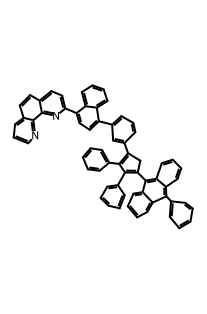 c1ccc(C2=C(c3cccc(-c4ccc(-c5ccc6ccc7cccnc7c6n5)c5ccccc45)c3)CC(c3c4ccccc4c(-c4ccccc4)c4ccccc34)=C2c2ccccc2)cc1